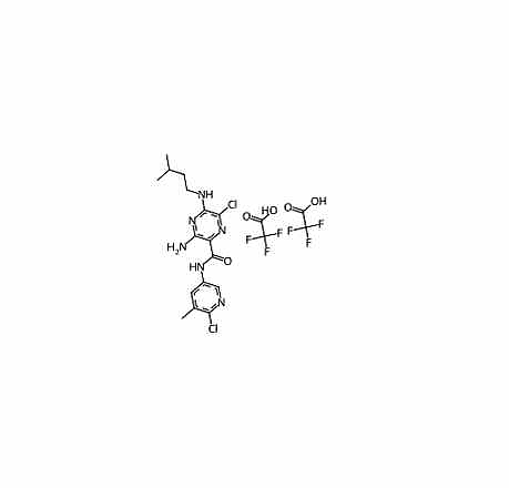 Cc1cc(NC(=O)c2nc(Cl)c(NCCC(C)C)nc2N)cnc1Cl.O=C(O)C(F)(F)F.O=C(O)C(F)(F)F